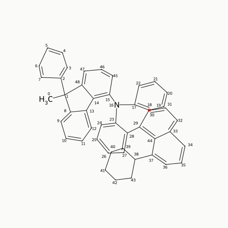 CC1(c2ccccc2)c2ccccc2-c2c(N(c3ccccc3)c3ccccc3-c3cccc4cccc(C5CCCCC5)c34)cccc21